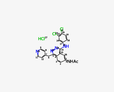 CC(=O)Nc1ccc2c(Cc3ccncc3)nnc(Nc3ccc(Cl)c(Cl)c3)c2c1.Cl